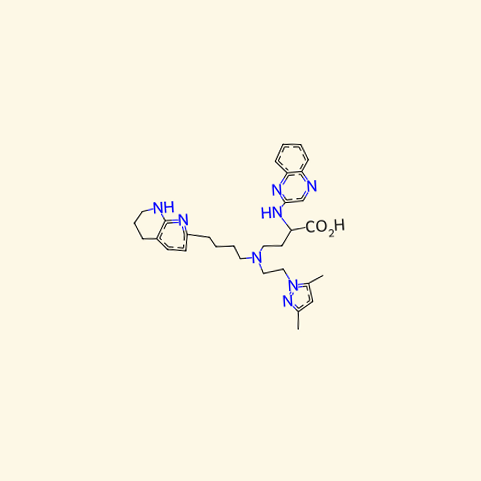 Cc1cc(C)n(CCN(CCCCc2ccc3c(n2)NCCC3)CCC(Nc2cnc3ccccc3n2)C(=O)O)n1